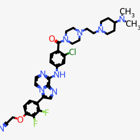 CN(C)C1CCN(CCN2CCN(C(=O)c3ccc(Nc4nccn5c(-c6ccc(OCC#N)c(F)c6F)cnc45)cc3Cl)CC2)CC1